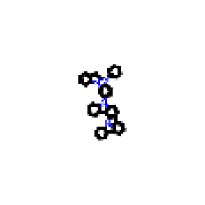 c1ccc(-n2c3ccc(-n4c5ccccc5c5c4ccc4c6cccc7c8ccccc8n(c76)c45)cc3n3c4ccccc4cc23)cc1